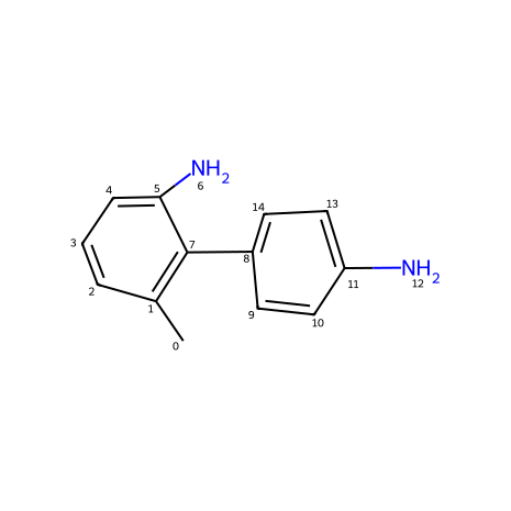 Cc1cccc(N)c1-c1ccc(N)cc1